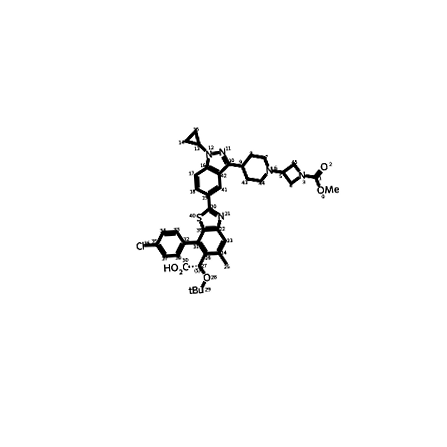 COC(=O)N1CC(N2CCC(c3nn(C4CC4)c4ccc(-c5nc6cc(C)c([C@H](OC(C)(C)C)C(=O)O)c(-c7ccc(Cl)cc7)c6s5)cc34)CC2)C1